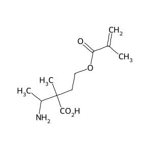 C=C(C)C(=O)OCCC(C)(C(=O)O)C(C)N